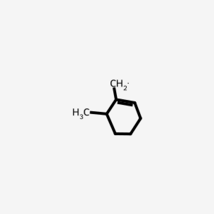 [CH2]C1=CCCCC1C